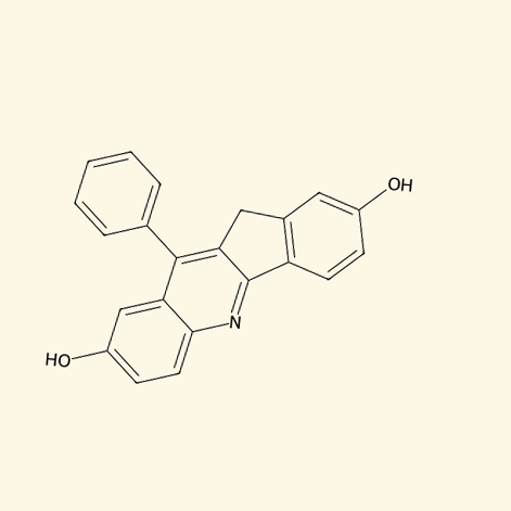 Oc1ccc2c(c1)Cc1c-2nc2ccc(O)cc2c1-c1ccccc1